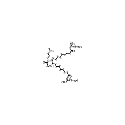 CCCCCCCCC(=O)N(CCCN(C)C)C(CCCCCCCCC(=O)OC(CCCC)CCCCCCC)CCCCCCCCC(=O)OC(CCCC)CCCCCCC